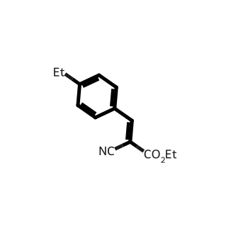 CCOC(=O)C(C#N)=Cc1ccc(CC)cc1